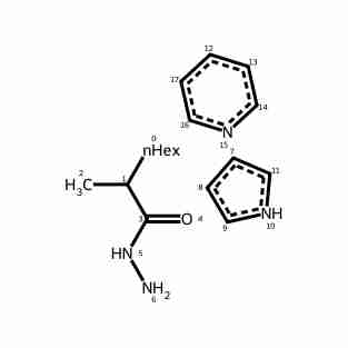 CCCCCCC(C)C(=O)NN.c1cc[nH]c1.c1ccncc1